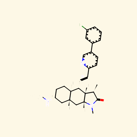 CCOC(=O)N[C@@H]1CC[C@@H]2[C@@H](C1)C[C@@H]1[C@H]([C@H]2/C=C/c2ccc(-c3cccc(F)c3)cn2)[C@@H](C)C(=O)N1C